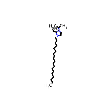 CCCCCCCCCCCCCCCCCCCN1C=CN(C(C)C)C1CC